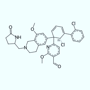 COc1cc(C2(c3ccc(C=O)c(OC)n3)C=CC=C(c3ccccc3Cl)[C@@H]2Cl)cc2c1CN(CC1CCC(=O)N1)CC2